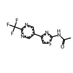 CC(=O)Nc1nc(-c2cnc(C(F)(F)F)nc2)cs1